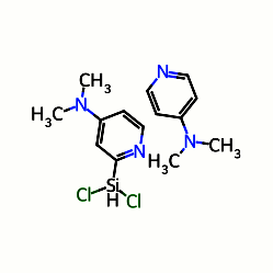 CN(C)c1ccnc([SiH](Cl)Cl)c1.CN(C)c1ccncc1